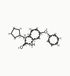 O=c1[nH]c2cc(Oc3ccccc3)ccc2n1C1CCCC1